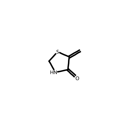 C=C1SCNC1=O